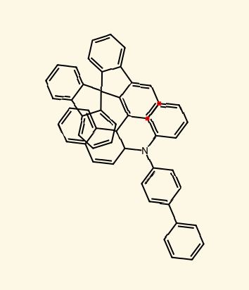 C1=CC(N(c2ccccc2)c2ccc(-c3ccccc3)cc2)C(c2cccc3c2C2(c4ccccc4-c4ccccc42)c2ccccc2-3)c2ccccc21